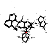 C#Cc1cccc2cncc(-c3ncc4c(N5C[C@H]6CC[C@@H](C5)N6C(=O)OC(C)(C)C)nc(OC[C@]56CCCN5C[C@@H](F)C6)nc4c3F)c12